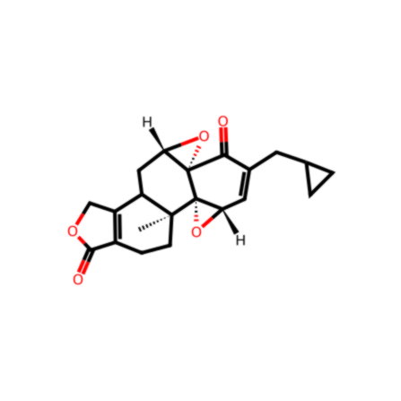 C[C@]12CCC3=C(COC3=O)C1C[C@@H]1O[C@@]13C(=O)C(CC1CC1)=C[C@@H]1O[C@]123